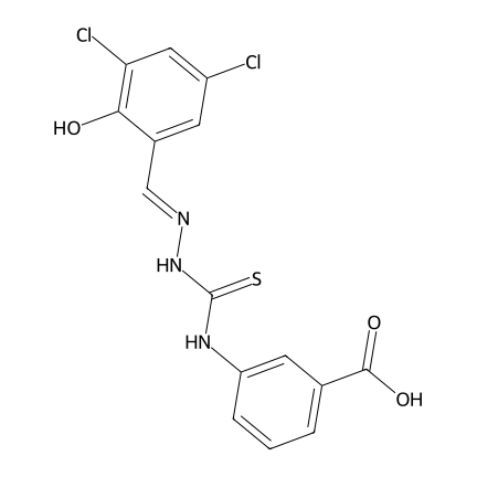 O=C(O)c1cccc(NC(=S)NN=Cc2cc(Cl)cc(Cl)c2O)c1